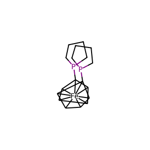 C1CCP([C]23[CH]4[CH]5[CH]6[CH]2[Fe]56432789[CH]3[CH]2[CH]7[C]8(P2CCCC2)[CH]39)C1